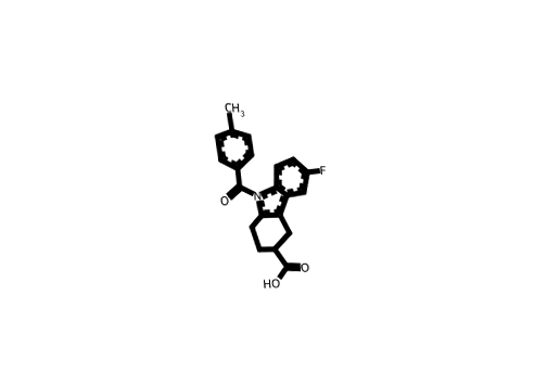 Cc1ccc(C(=O)n2c3c(c4cc(F)ccc42)CC(C(=O)O)CC3)cc1